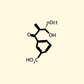 C=C(C(=O)c1cccc(C(=O)O)c1)[C@@H](O)CC[CH]CCCCC